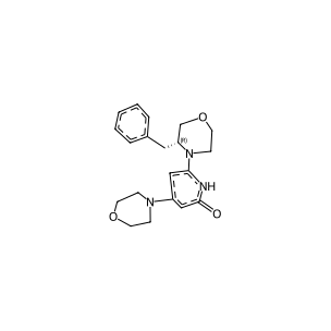 O=c1cc(N2CCOCC2)cc(N2CCOC[C@H]2Cc2ccccc2)[nH]1